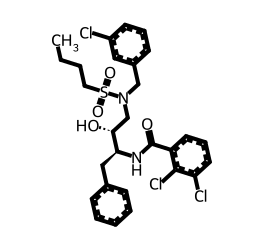 CCCCS(=O)(=O)N(Cc1cccc(Cl)c1)C[C@@H](O)[C@H](Cc1ccccc1)NC(=O)c1cccc(Cl)c1Cl